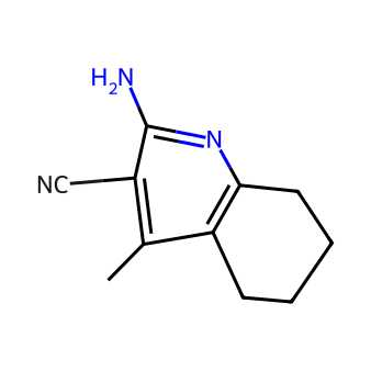 Cc1c(C#N)c(N)nc2c1CCCC2